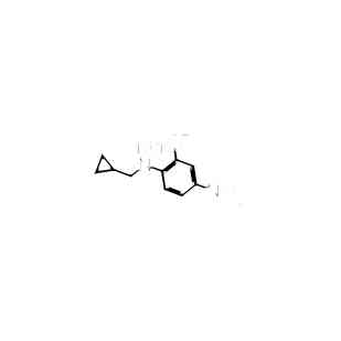 CCCN(CC1CC1)c1ccc([N+](=O)[O-])cc1C(F)(F)F